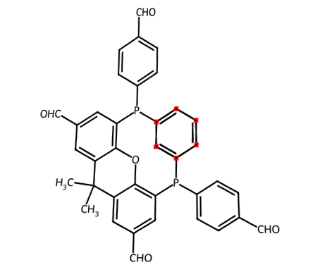 CC1(C)c2cc(C=O)cc(P(c3ccccc3)c3ccc(C=O)cc3)c2Oc2c(P(c3ccccc3)c3ccc(C=O)cc3)cc(C=O)cc21